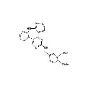 COc1ccc(CNc2ncc3c(n2)-c2cccnc2Nc2cnccc2-3)cc1OC